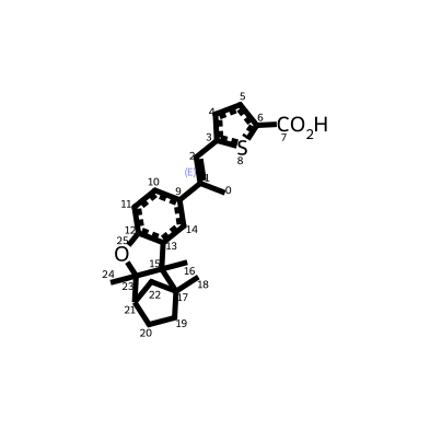 C/C(=C\c1ccc(C(=O)O)s1)c1ccc2c(c1)C1(C)C3(C)CCC(C3)C1(C)O2